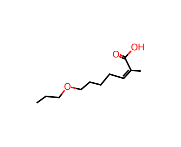 CCCOCCCCC=C(C)C(=O)O